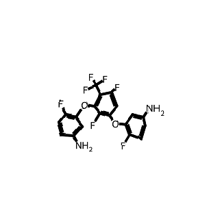 Nc1ccc(F)c(Oc2cc(F)c(C(F)(F)F)c(Oc3cc(N)ccc3F)c2F)c1